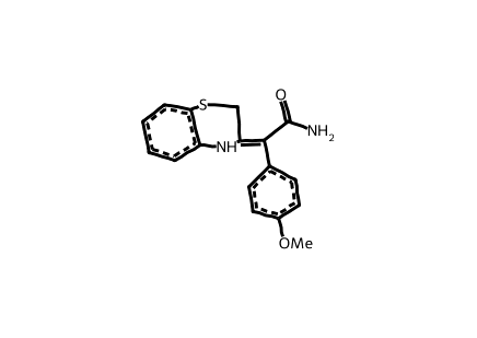 COc1ccc(/C(C(N)=O)=C2/CSc3ccccc3N2)cc1